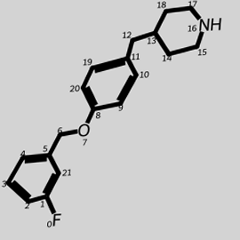 Fc1cccc(COc2ccc(CC3CCNCC3)cc2)c1